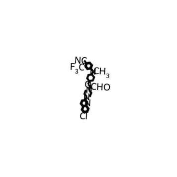 CN(c1ccc(C#N)c(C(F)(F)F)c1)C1CCC(OC(C=O)N2CCN(c3ccc4cc(Cl)ccc4n3)CC2)CC1